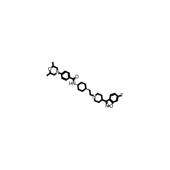 CC1CN(c2ccc(C(=O)N[C@H]3CC[C@H](CCN4CCC(c5noc6cc(F)ccc56)CC4)CC3)cc2)CC(C)O1